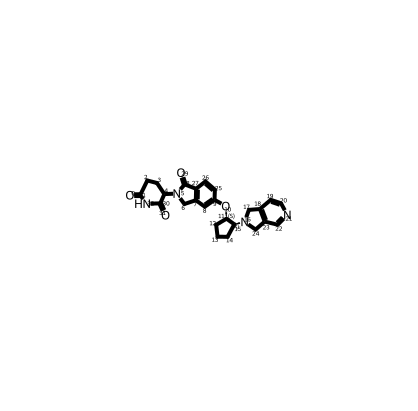 O=C1CCC(N2Cc3cc(O[C@H]4CCC[C@H]4N4Cc5ccncc5C4)ccc3C2=O)C(=O)N1